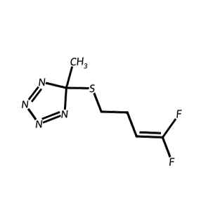 CC1(SCCC=C(F)F)N=NN=N1